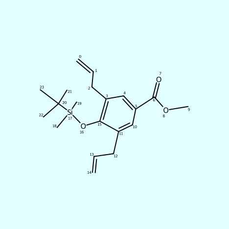 C=CCc1cc(C(=O)OC)cc(CC=C)c1O[Si](C)(C)C(C)(C)C